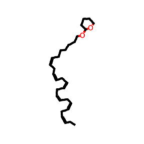 CC/C=C\C/C=C\C/C=C\C/C=C\C/C=C\C/C=C\CCCCCCOC1CCCCO1